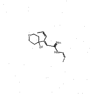 C/C=C\NC(=N)/C=C(\C=C/C)C1(O)CCOCC1